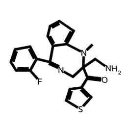 CN1c2ccccc2C(c2ccccc2F)=NCC1(CN)C(=O)c1ccsc1